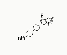 C=C(F)Cc1c(F)cc([C@H]2CC[C@H]([C@H]3CC[C@H](CCC)CC3)CC2)cc1F